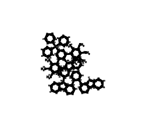 Bc1c(B)c(B)c(-c2cc(S(c3ccccc3)(c3ccccc3)c3ccccc3)cc(-c3c(B)c(B)c(B)c(B)c3B)c2-n2c3ccccc3c3cc(-n4c5ccccc5c5cccc(-c6ccccc6-c6cccc7c6sc6ccccc67)c54)ccc32)c(B)c1B